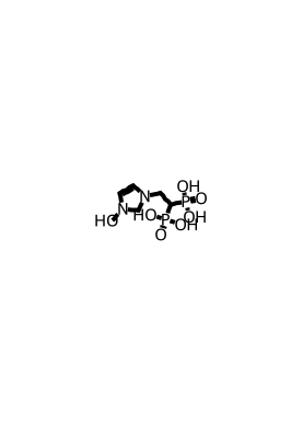 O=P(O)(O)C(CN1C=CN(O)C1)P(=O)(O)O